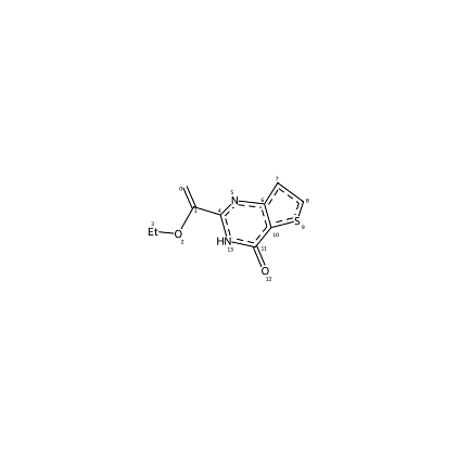 C=C(OCC)c1nc2ccsc2c(=O)[nH]1